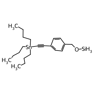 CCC[CH2][Sn]([C]#Cc1ccc(CO[SiH3])cc1)([CH2]CCC)[CH2]CCC